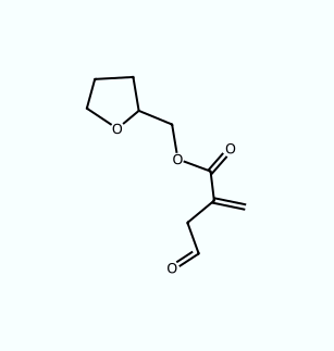 C=C(CC=O)C(=O)OCC1CCCO1